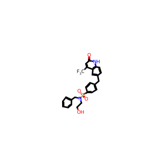 O=c1cc(C(F)(F)F)c2cc(Cc3ccc(S(=O)(=O)N(CCO)Cc4ccccc4)cc3)ccc2[nH]1